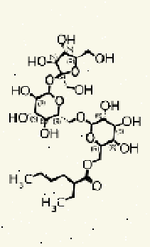 CCCCC(CC)C(=O)OC[C@H]1OC(OC[C@H]2OC(O[C@]3(CO)O[C@H](CO)[C@@H](O)[C@@H]3O)[C@H](O)[C@@H](O)[C@@H]2O)[C@H](O)[C@@H](O)[C@H]1O